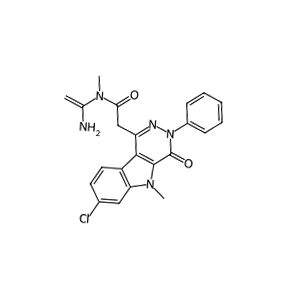 C=C(N)N(C)C(=O)Cc1nn(-c2ccccc2)c(=O)c2c1c1ccc(Cl)cc1n2C